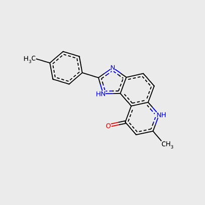 Cc1ccc(-c2nc3ccc4[nH]c(C)cc(=O)c4c3[nH]2)cc1